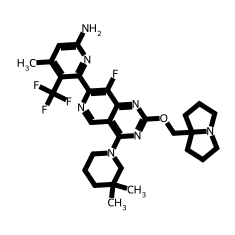 Cc1cc(N)nc(-c2ncc3c(N4CCCC(C)(C)C4)nc(OCC45CCCN4CCC5)nc3c2F)c1C(F)(F)F